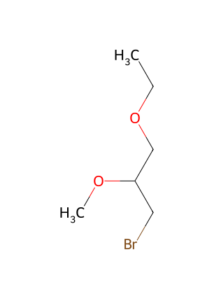 CCOCC(CBr)OC